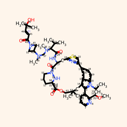 CCn1c(-c2cccnc2[C@H](C)OC)c2c3cc(ccc31)-c1csc(n1)C[C@H](NC(=O)C(C(C)C)N(C)CN(C)C1CN(C(=O)/C=C/C(C)(C)O)C1)C(=O)N1CCC[C@H](N1)C(=O)OCC(C)(C)C2